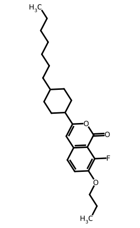 CCCCCCCC1CCC(c2cc3ccc(OCCC)c(F)c3c(=O)o2)CC1